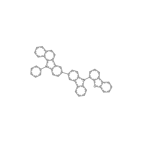 c1ccc(-n2c3ccc(-c4ccc5c(c4)c4ccccc4n5-c4cccc5c4oc4ccccc45)cc3c3ccc4ccccc4c32)cc1